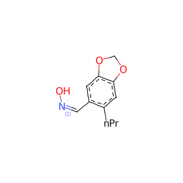 CCCc1cc2c(cc1/C=N\O)OCO2